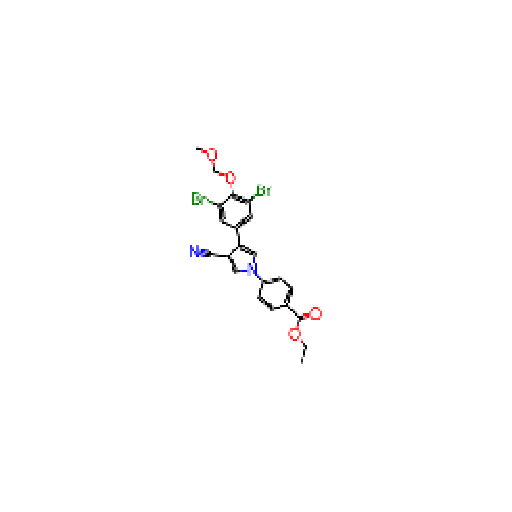 CCOC(=O)c1ccc(-n2cc(C#N)c(-c3cc(Br)c(OCOC)c(Br)c3)c2)cc1